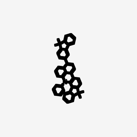 CC1(C)c2ccccc2-c2cc(-c3ccc4c5c(cccc35)N(c3ccccc3)c3c-4ccc4c3-c3ccccc3C4(C)C)ccc21